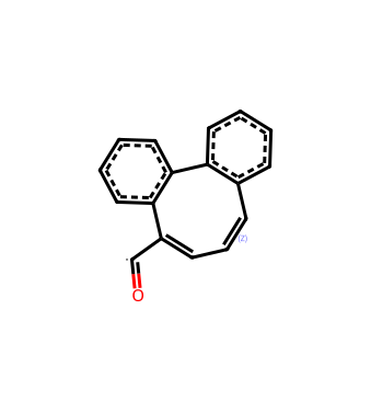 O=[C]C1=C/C=C\c2ccccc2-c2ccccc21